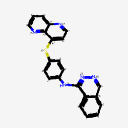 c1ccc2c(Nc3ccc(Sc4ccnc5cccnc45)cc3)nncc2c1